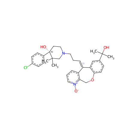 CC(C)(O)c1ccc2c(c1)/C(=C/CCN1CC[C@](O)(c3ccc(Cl)cc3)C(C)(C)C1)c1ccc[n+]([O-])c1CO2